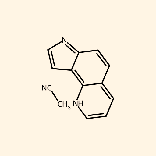 CC#N.c1c[nH]c2c(c1)ccc1nccc12